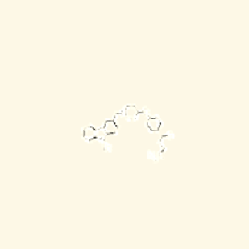 C=CCC(=O)c1ccc(OC2CCN(Cc3ccc4c(c3)c3ccccc3n4CC)CC2)cc1